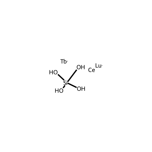 O[Si](O)(O)O.[Ce].[Lu].[Tb]